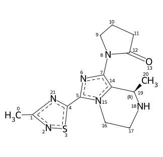 Cc1nsc(-c2nc(N3CCCC3=O)c3n2CCN[C@@H]3C)n1